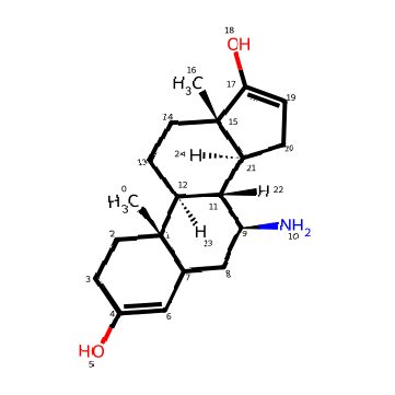 C[C@]12CCC(O)=CC1C[C@H](N)[C@@H]1[C@@H]2CC[C@]2(C)C(O)=CC[C@@H]12